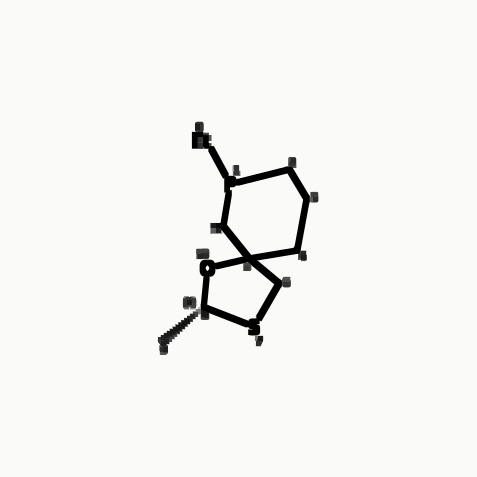 CCP1CCCC2(CS[C@H](C)O2)C1